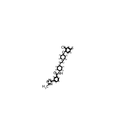 Cc1nc(-c2cccc(C(=O)N[C@H]3CC[C@H](CCN4CCC(Oc5ccc(F)cc5Cl)CC4)CC3)c2)no1